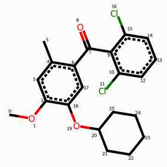 COc1cc(C)c(C(=O)c2c(Cl)cccc2Cl)cc1OC1CCCCC1